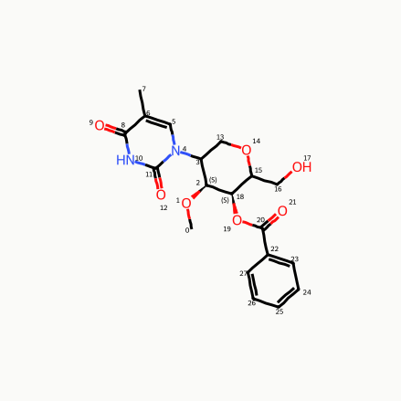 CO[C@H]1C(n2cc(C)c(=O)[nH]c2=O)COC(CO)[C@H]1OC(=O)c1ccccc1